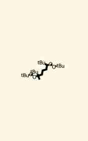 CC(C)(C)OOC(CCCC(C)(OOC(C)(C)C)C(C)(C)C)C(C)(C)C